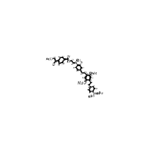 CCCCN(CCCC)c1ccc(/C=C/c2cc(OC)c(/C=C/c3ccc(N(C)CCOC(=O)c4ccc(C(=O)COC(C)=O)cc4)cc3)cc2OC)cc1